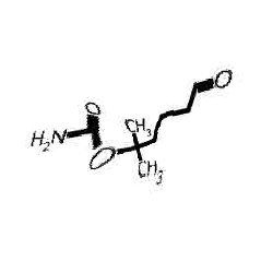 CC(C)(CCCC=O)OC(N)=O